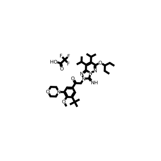 CCC(CC)Oc1nn2c(=N)n(CC(=O)c3cc(N4CCOCC4)c(OC)c(C(C)(C)C)c3)nc2c(C(C)C)c1C(C)C.O=C(O)C(F)(F)F